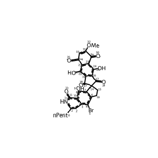 CCCCCc1cc2c(Br)c3c(c(O)c2c(=O)[nH]1)C1(CC3)C(=O)c2c(O)c3c(c(O)c2C1=O)C(=O)C(OC)=CC3=O